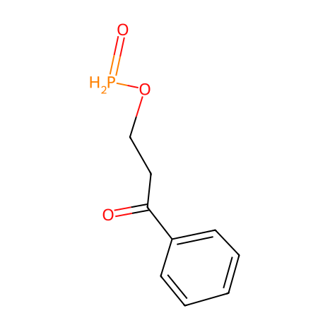 O=[PH2]OCCC(=O)c1ccccc1